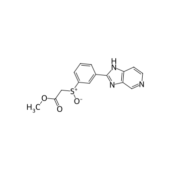 COC(=O)C[S+]([O-])c1cccc(-c2nc3cnccc3[nH]2)c1